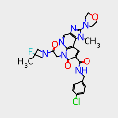 Cn1c(N2CCOCC2)nc2cnc3c(cc(C(=O)NCc4ccc(Cl)cc4)c(=O)n3CC(=O)N3CC(C)(F)C3)c21